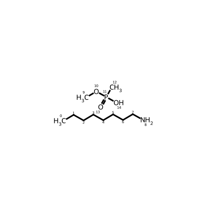 CCCCCCCCN.COP(C)(=O)O